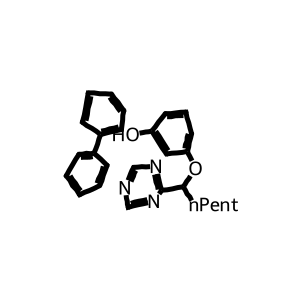 CCCCCC(Oc1cccc(O)c1)c1ncncn1.c1ccc(-c2ccccc2)cc1